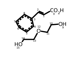 O=C(O)C=Cc1ccccc1.OCCOCCO